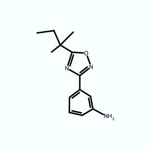 CCC(C)(C)c1nc(-c2cccc(N)c2)no1